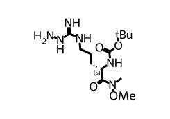 CON(C)C(=O)[C@H](CCCNC(=N)NN)NC(=O)OC(C)(C)C